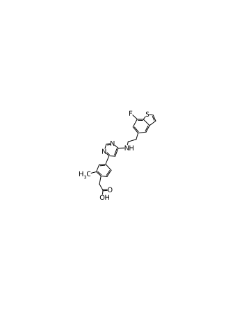 Cc1cc(-c2cc(NCCc3cc(F)c4sccc4c3)ncn2)ccc1CC(=O)O